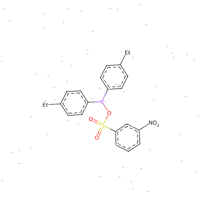 CCc1ccc([I+](OS(=O)(=O)c2cccc([N+](=O)[O-])c2)c2ccc(CC)cc2)cc1